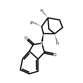 CC(C)[C@@H]1[C@H]2CC[C@H](C2)[C@H]1N1C(=O)c2ccccc2C1=O